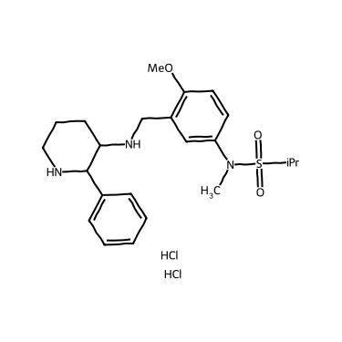 COc1ccc(N(C)S(=O)(=O)C(C)C)cc1CNC1CCCNC1c1ccccc1.Cl.Cl